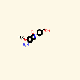 COc1cc2c(cc1N)CN([C@H]1CC[C@H](CO)CC1)C2=O